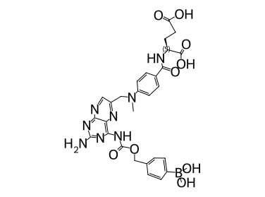 CN(Cc1cnc2nc(N)nc(NC(=O)OCc3ccc(B(O)O)cc3)c2n1)c1ccc(C(=O)N[C@@H](CCC(=O)O)C(=O)O)cc1